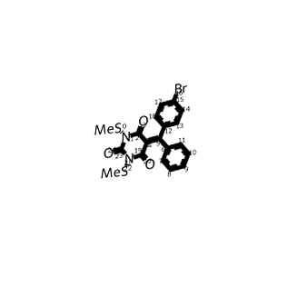 CSN1C(=O)C(=C(c2ccccc2)c2ccc(Br)cc2)C(=O)N(SC)C1=O